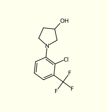 OC1CCN(c2cccc(C(F)(F)F)c2Cl)C1